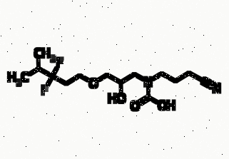 CC(C)C(F)(F)CCOCC(O)CN(CCCC#N)C(=O)O